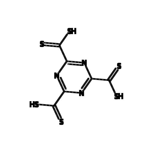 S=C(S)c1nc(C(=S)S)nc(C(=S)S)n1